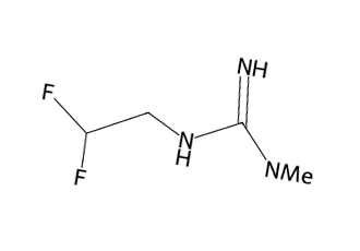 CNC(=N)NCC(F)F